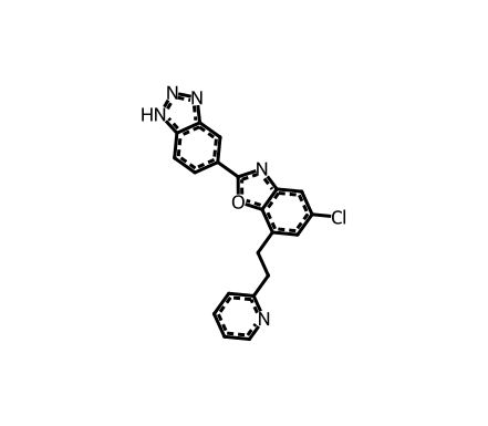 Clc1cc(CCc2ccccn2)c2oc(-c3ccc4[nH]nnc4c3)nc2c1